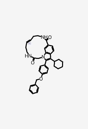 O=C1Cn2c(-c3ccc(OCc4ccccc4)cc3)c(C3CCCCC3)c3ccc(cc32)C(=O)NCC/C=C/CCN1